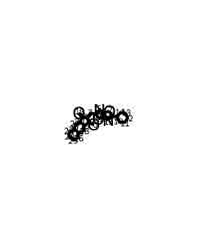 O=C1C(=Cc2nc3oc(C4CCCCC4)nc3o2)C(=O)c2cc3ccccc3cc21